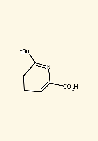 CC(C)(C)C1=NC(C(=O)O)=CCC1